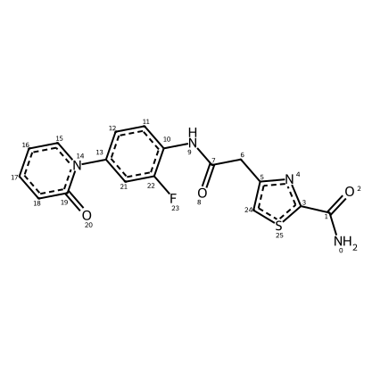 NC(=O)c1nc(CC(=O)Nc2ccc(-n3ccccc3=O)cc2F)cs1